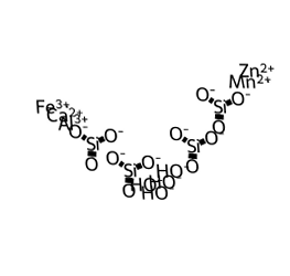 O=[Si]([O-])[O-].O=[Si]([O-])[O-].O=[Si]([O-])[O-].O=[Si]([O-])[O-].[Al+3].[Ca+2].[Fe+3].[Mn+2].[OH-].[OH-].[OH-].[OH-].[Zn+2]